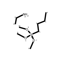 CCCC[Si](OC)(OC)OC.CCN